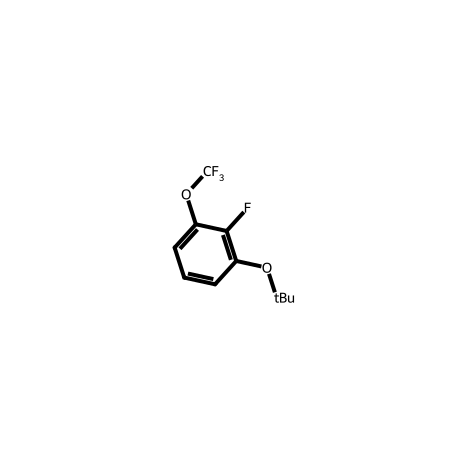 CC(C)(C)Oc1cccc(OC(F)(F)F)c1F